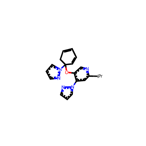 CC(C)c1cc(-n2cccn2)c(OC2(n3cccn3)C=CC=CC2)cn1